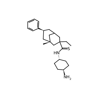 CCC1(C(=S)N[C@H]2CC[C@H](N)CC2)CC2C[C@H](c3ccccc3)C[C@](C)(C2)C1